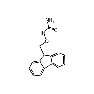 NC(=O)NOCC1c2ccccc2-c2ccccc21